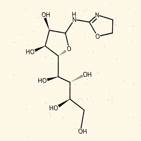 OC[C@@H](O)[C@@H](O)[C@@H](O)[C@H]1OC(NC2=NCCO2)[C@H](O)[C@@H]1O